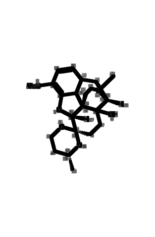 COC1=C2O[C@H]3[C@]4(CCC5(O)[C@H]6CC(C=C1)C2[C@@]35CCN6C)OCC[C@@H](C)O4